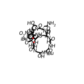 CC[C@H](C)[C@@H]1NC(=O)CNC(=O)[C@@H]2Cc3c([nH]c4cc([N+](=O)[O-])ccc34)SC[C@H](NC(=O)CNC1=O)C(=O)N[C@@H](CC(N)=O)C(=O)N1C[C@H](O)C[C@H]1C(=O)N[C@@H]([C@@H](C)CC)C(=O)N2